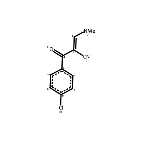 CN/C=C(\C#N)C(=O)c1ccc(Cl)cc1